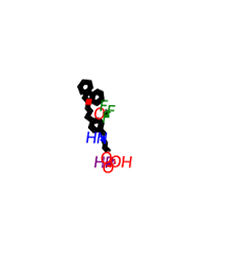 O=[PH](O)OCCCNCc1ccc(CCCCCC2(c3ccccc3)CCCCC2)c(OC(F)(F)F)c1